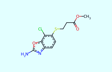 COC(=O)CCSc1ccc2nc(N)oc2c1Cl